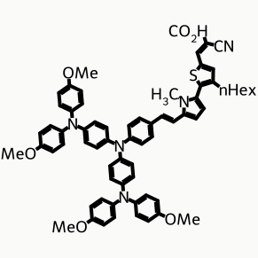 CCCCCCc1cc(/C=C(\C#N)C(=O)O)sc1-c1ccc(/C=C/c2ccc(N(c3ccc(N(c4ccc(OC)cc4)c4ccc(OC)cc4)cc3)c3ccc(N(c4ccc(OC)cc4)c4ccc(OC)cc4)cc3)cc2)n1C